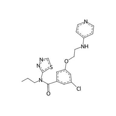 CCCN(C(=O)c1cc(Cl)cc(OCCNc2ccncc2)c1)c1nncs1